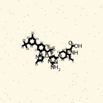 CCC1NC(C(=O)O)CC12CCN(c1cc(O[C@H](c3ccc(-c4cc(C)cc(C(C)(C)C)c4)cc3-n3ccc(C)n3)C(F)(F)F)nc(N)n1)CC2